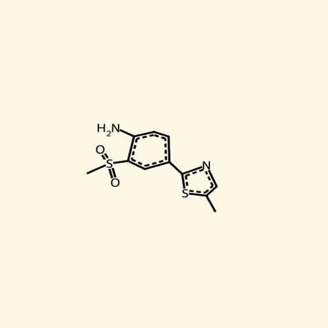 Cc1cnc(-c2ccc(N)c(S(C)(=O)=O)c2)s1